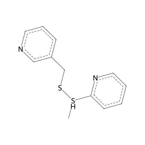 C[SH](SCc1cccnc1)c1ccccn1